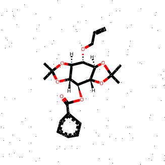 C=CCO[C@@H]1[C@H]2OC(C)(C)O[C@@H]2[C@@H](OC(=O)c2ccccc2)[C@@H]2OC(C)(C)O[C@@H]12